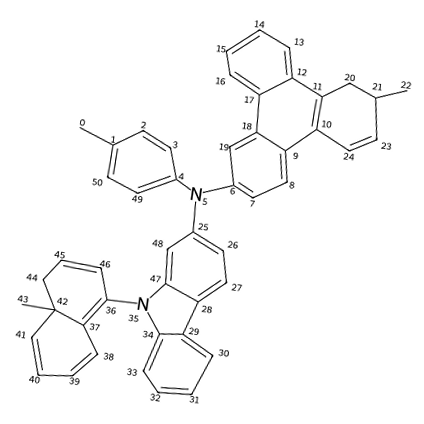 Cc1ccc(N(c2ccc3c4c(c5ccccc5c3c2)CC(C)C=C4)c2ccc3c4ccccc4n(C4=C5C=CC=CC5(C)CC=C4)c3c2)cc1